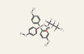 CCOc1ccc(S(OS(=O)(=O)C(F)(F)C(F)(F)C(F)(F)C(F)(F)F)(c2ccc(OCC)cc2)c2ccc(OCC)cc2)cc1